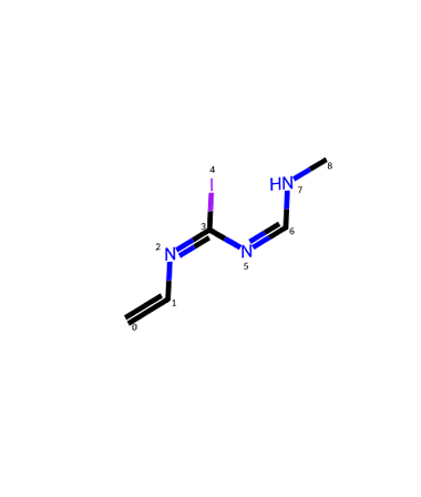 C=C/N=C(I)\N=C/NC